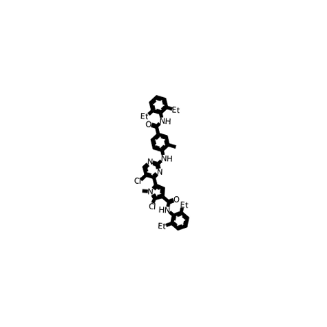 CCc1cccc(CC)c1NC(=O)c1ccc(Nc2ncc(Cl)c(-c3cc(C(=O)Nc4c(CC)cccc4CC)c(Cl)n3C)n2)c(C)c1